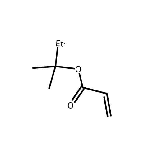 C=CC(=O)OC(C)(C)[CH]C